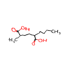 [CH2]C(CCC(CCCC)C(=O)O)C(=O)O